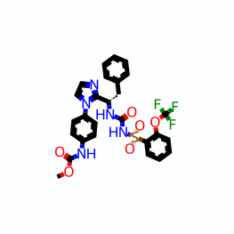 COC(=O)Nc1ccc(-n2ccnc2[C@H](Cc2ccccc2)NC(=O)NS(=O)(=O)c2ccccc2OC(F)(F)F)cc1